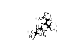 CN(C)C(=O)C(OC(=O)NC(C)(C)C)C(C)(C)C